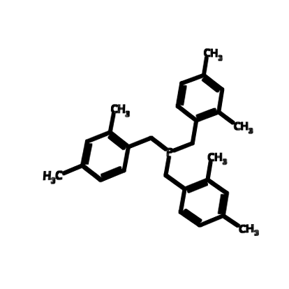 Cc1ccc(CP(Cc2ccc(C)cc2C)Cc2ccc(C)cc2C)c(C)c1